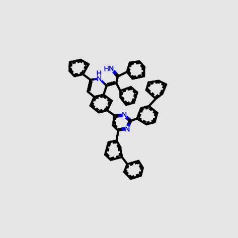 N=C(/C(=C1\NC(c2ccccc2)=Cc2ccc(-c3cc(-c4cccc(-c5ccccc5)c4)nc(-c4cccc(-c5ccccc5)c4)n3)cc21)c1ccccc1)c1ccccc1